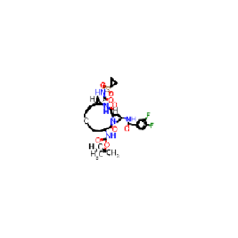 CC(C)(C)OC(=O)N[C@H]1CCCCC/C=C\[C@@H]2C[C@@]2(C(=O)NS(=O)(=O)C2CC2)NC(=O)[C@@H]2C[C@@H](NC(=O)c3ccc(F)c(F)c3)CN2C1=O